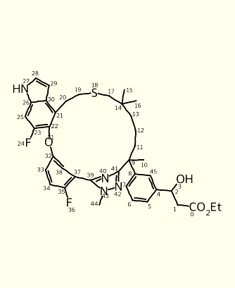 CCOC(=O)CC(O)c1cccc(C2(C)CCCC(C)(C)CSCCc3c(c(F)cc4[nH]ccc34)Oc3ccc(F)c(c3)-c3nc2nn3C)c1